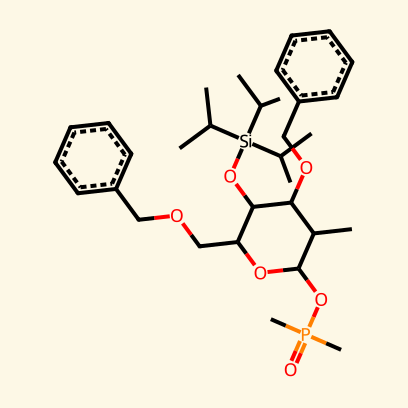 CC1C(OP(C)(C)=O)OC(COCc2ccccc2)C(O[Si](C(C)C)(C(C)C)C(C)C)C1OCc1ccccc1